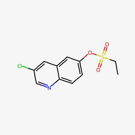 CCS(=O)(=O)Oc1ccc2ncc(Cl)cc2c1